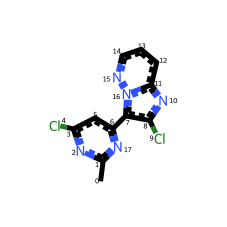 Cc1nc(Cl)cc(-c2c(Cl)nc3cccnn23)n1